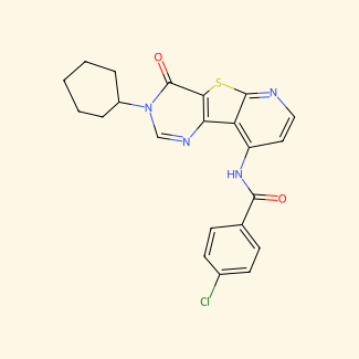 O=C(Nc1ccnc2sc3c(=O)n(C4CCCCC4)cnc3c12)c1ccc(Cl)cc1